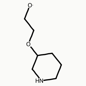 [O]CCOC1CCCNC1